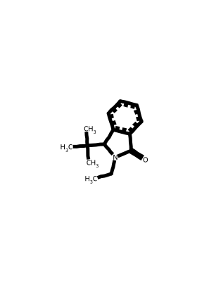 CCN1C(=O)c2ccccc2C1C(C)(C)C